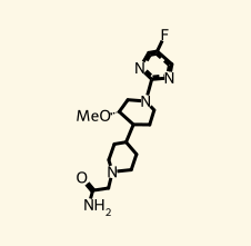 CO[C@@H]1CN(c2ncc(F)cn2)CCC1C1CCN(CC(N)=O)CC1